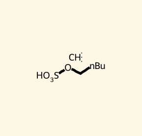 CCCCCOS(=O)(=O)O.[CH]